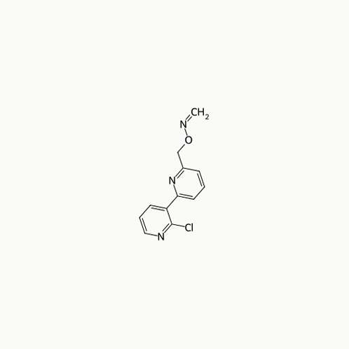 C=NOCc1cccc(-c2cccnc2Cl)n1